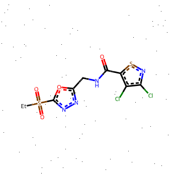 CCS(=O)(=O)c1nnc(CNC(=O)c2snc(Cl)c2Cl)o1